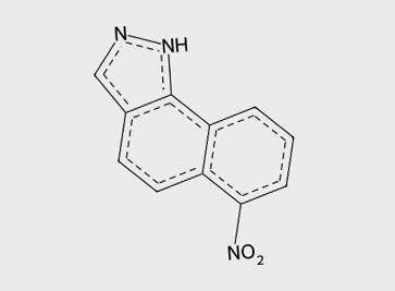 O=[N+]([O-])c1cccc2c1ccc1cn[nH]c12